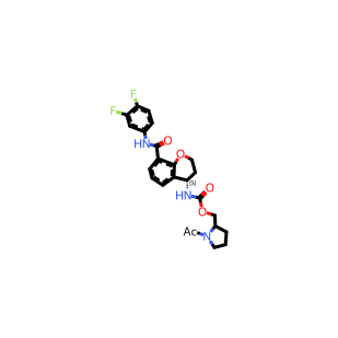 CC(=O)N1CCCC1COC(=O)N[C@H]1CCOc2c(C(=O)Nc3ccc(F)c(F)c3)cccc21